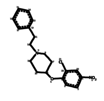 O=[N+]([O-])c1ccc(OC2CCN(CCc3ccccc3)CC2)c(Cl)c1